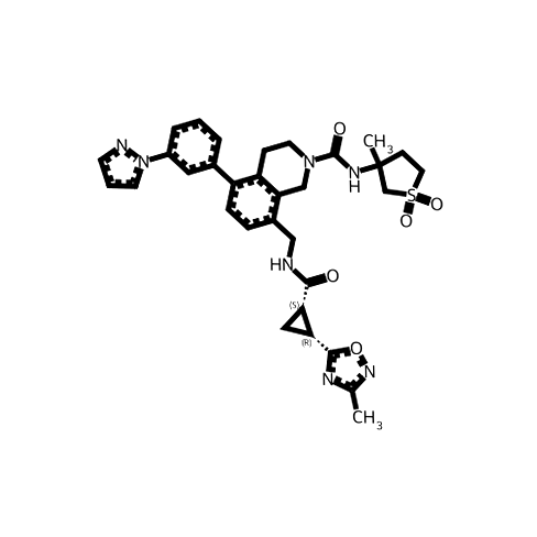 Cc1noc([C@@H]2C[C@@H]2C(=O)NCc2ccc(-c3cccc(-n4cccn4)c3)c3c2CN(C(=O)NC2(C)CCS(=O)(=O)C2)CC3)n1